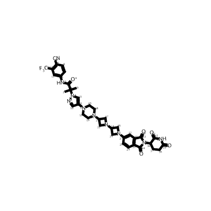 CC(C)(C(=O)Nc1ccc(C#N)c(C(F)(F)F)c1)n1cc(N2CCN(C3CN(C4CN(c5ccc6c(c5)C(=O)N(C5CCC(=O)NC5=O)C6=O)C4)C3)CC2)cn1